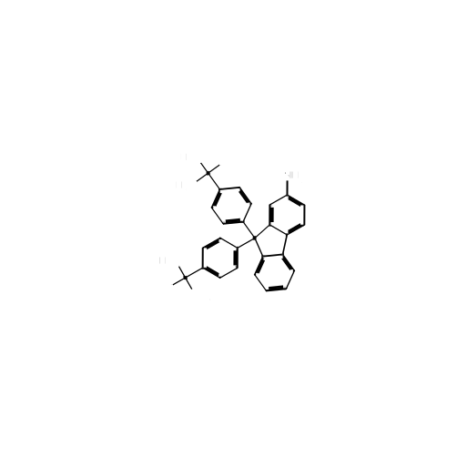 CC(C)(C)c1ccc(C2(c3ccc(C(C)(C)C)cc3)c3ccccc3-c3ccc(N)cc32)cc1